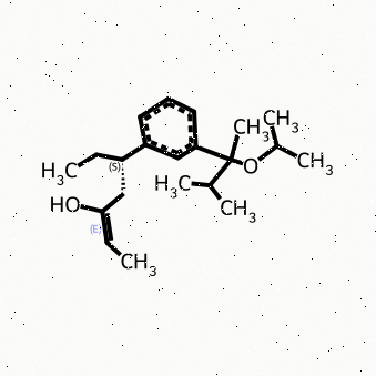 C/C=C(/O)C[C@H](CC)c1cccc(C(C)(OC(C)C)C(C)C)c1